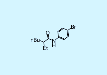 CCCCC(CC)C(=O)Nc1ccc(Br)cc1